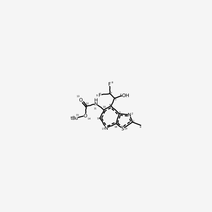 Cc1nc2c(C(O)C(F)F)c(NC(=O)OC(C)(C)C)cnc2s1